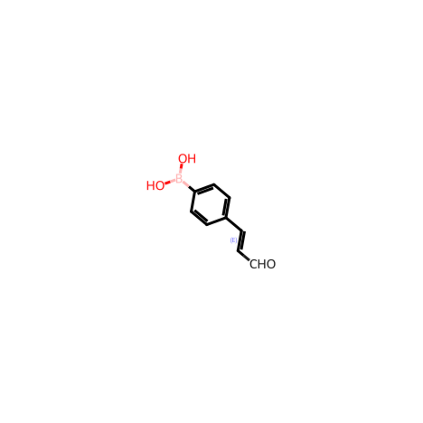 O=C/C=C/c1ccc(B(O)O)cc1